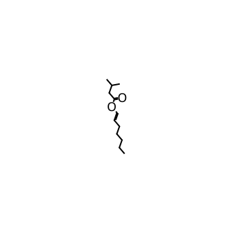 CCCCCC=COC(=O)CC(C)C